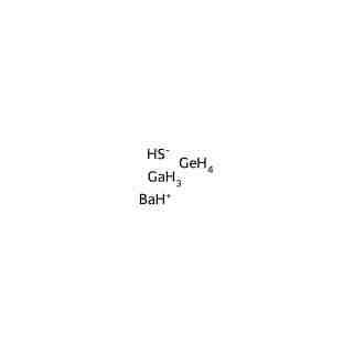 [BaH+].[GaH3].[GeH4].[SH-]